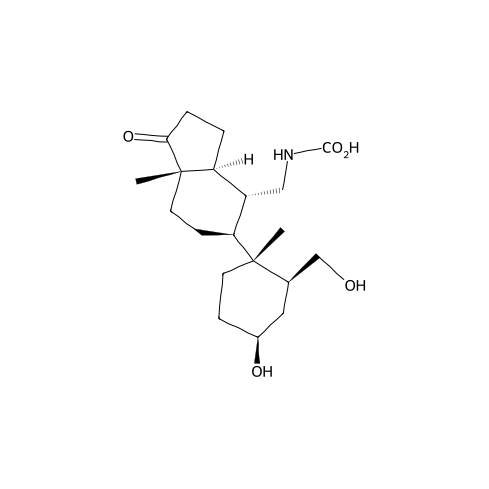 C[C@]1([C@H]2CC[C@]3(C)C(=O)CC[C@H]3[C@@H]2CNC(=O)O)CC[C@H](O)C[C@@H]1CO